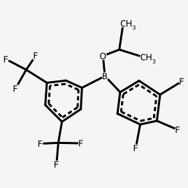 CC(C)OB(c1cc(C(F)(F)F)cc(C(F)(F)F)c1)c1cc(F)c(F)c(F)c1